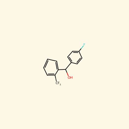 OC(c1ccc(F)cc1)c1ccccc1C(F)(F)F